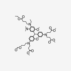 CCOC(=O)CCCN(CC)c1cc(OC)c(C2c3ccc(N(CCCOC=O)CCC(=O)OC)cc3Oc3cc(N(CCC(=O)OC)CCC(=O)OC)ccc32)cc1N(C)C